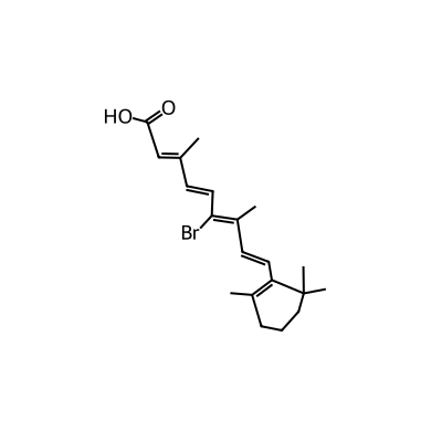 CC1=C(/C=C/C(C)=C(Br)/C=C/C(C)=C/C(=O)O)C(C)(C)CCC1